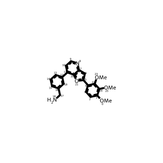 COc1ccc(-c2cc3nccc(-c4cccc(CN)c4)c3o2)c(OC)c1OC